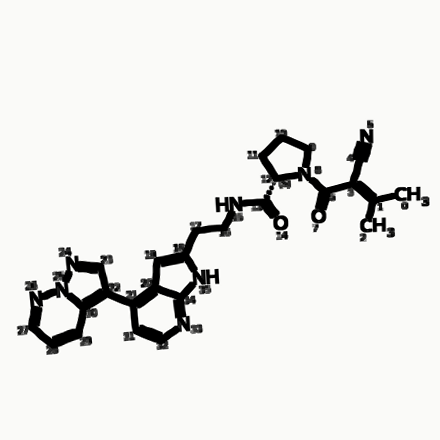 CC(C)=C(C#N)C(=O)N1CCC[C@H]1C(=O)NCCc1cc2c(-c3cnn4ncccc34)ccnc2[nH]1